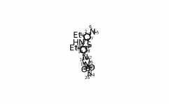 CCc1cc(N(C)C)cc2c1Nc1c(CC)cc(N3CCN(S(=O)(=O)C4CC4)CC3)cc1S2